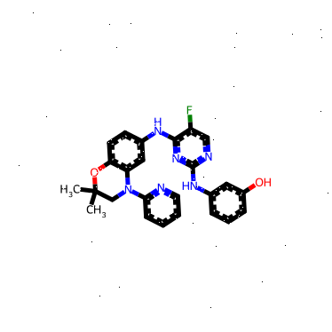 CC1(C)CN(c2ccccn2)c2cc(Nc3nc(Nc4cccc(O)c4)ncc3F)ccc2O1